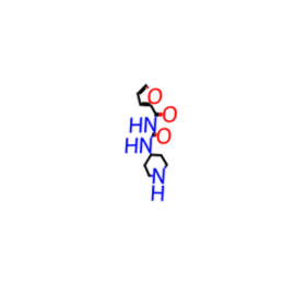 O=C(NC(=O)c1ccco1)NC1CCNCC1